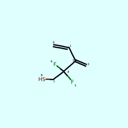 C=CC(=C)C(F)(F)CS